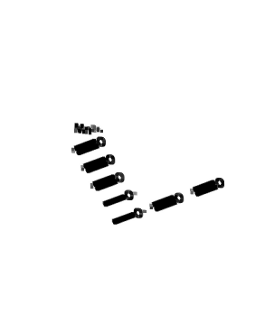 C[O-].C[O-].[C]=O.[C]=O.[C]=O.[C]=O.[C]=O.[Mn+2]